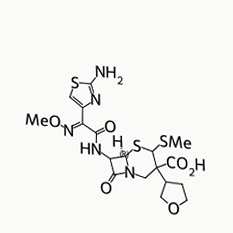 CON=C(C(=O)NC1C(=O)N2CC(C(=O)O)(C3CCOC3)C(SC)S[C@H]12)c1csc(N)n1